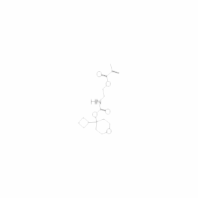 C=C(C)C(=O)OCCNC(=O)OC1(C2CCC2)CCOCC1